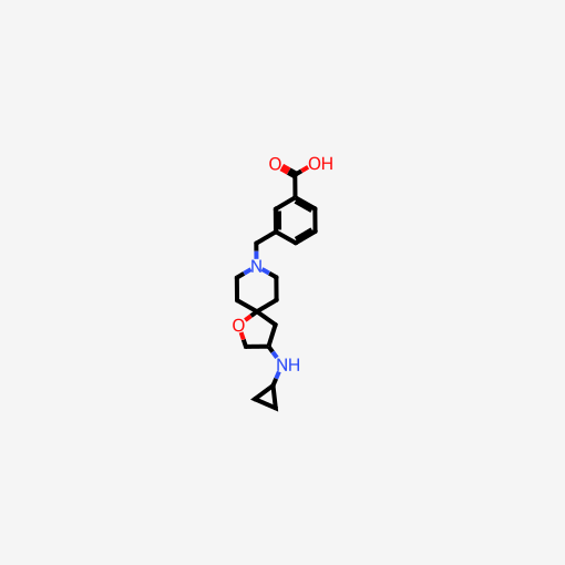 O=C(O)c1cccc(CN2CCC3(CC2)CC(NC2CC2)CO3)c1